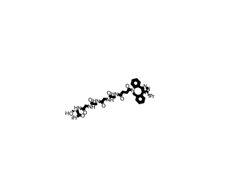 CC(C)C(=O)[C@H](CO)NC(=O)CNC(=O)CNC(=O)CNC(=O)CNC(=O)CCC(=O)N1Cc2ccccc2-c2c(nnn2C(C)C)-c2ccccc21